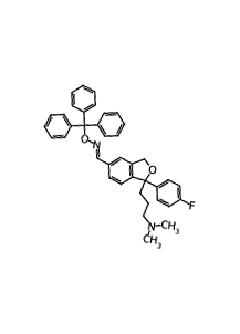 CN(C)CCCC1(c2ccc(F)cc2)OCc2cc(C=NOC(c3ccccc3)(c3ccccc3)c3ccccc3)ccc21